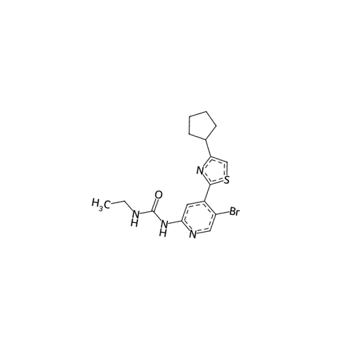 CCNC(=O)Nc1cc(-c2nc(C3CCCC3)cs2)c(Br)cn1